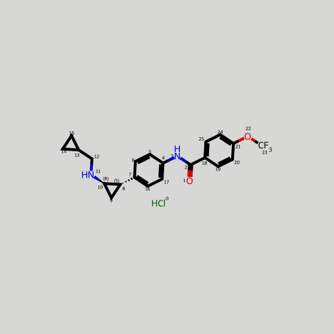 Cl.O=C(Nc1ccc([C@@H]2C[C@H]2NCC2CC2)cc1)c1ccc(OC(F)(F)F)cc1